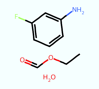 CCOC=O.Nc1cccc(F)c1.O